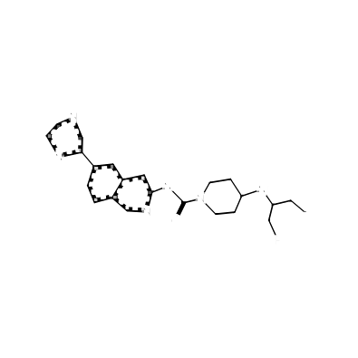 O=C(Nc1cc2cc(-c3cnccn3)ccc2cn1)N1CCC(NC(CF)CF)CC1